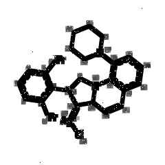 CC(C)c1cccc(C(C)C)c1N1CN2c3c(cccc3N3CCCCC3)C=CC2[C]1=[Ag-2][Cl]